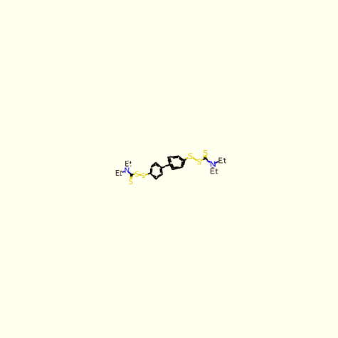 CCN(CC)C(=S)SSc1ccc(-c2ccc(SSC(=S)N(CC)CC)cc2)cc1